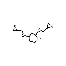 C1CC(SCC2CS2)CC(SCC2CS2)[Te]1